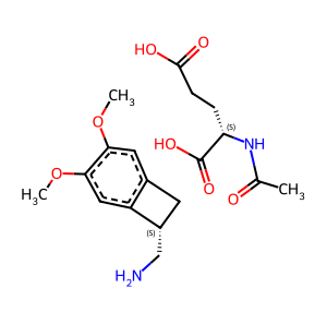 CC(=O)N[C@@H](CCC(=O)O)C(=O)O.COc1cc2c(cc1OC)[C@@H](CN)C2